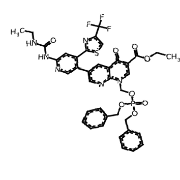 CCNC(=O)Nc1cc(-c2nc(C(F)(F)F)cs2)c(-c2cnc3c(c2)c(=O)c(C(=O)OCC)cn3COP(=O)(OCc2ccccc2)OCc2ccccc2)cn1